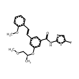 COC[C@H](C)Oc1cc(C=Cc2ccccc2OC)cc(C(=O)Nc2ncc(F)s2)c1